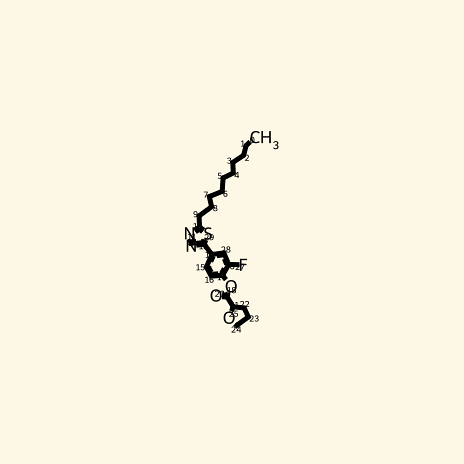 CCCCCCCCCCc1nnc(-c2ccc(OC(=O)C3CCCO3)c(F)c2)s1